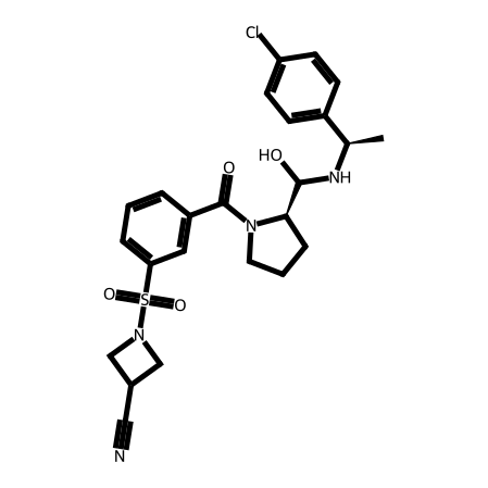 C[C@@H](NC(O)[C@H]1CCCN1C(=O)c1cccc(S(=O)(=O)N2CC(C#N)C2)c1)c1ccc(Cl)cc1